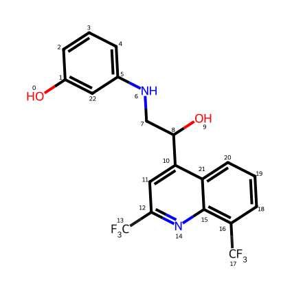 Oc1cccc(NCC(O)c2cc(C(F)(F)F)nc3c(C(F)(F)F)cccc23)c1